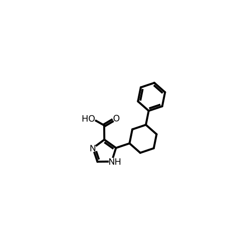 O=C(O)c1nc[nH]c1C1CCCC(c2ccccc2)C1